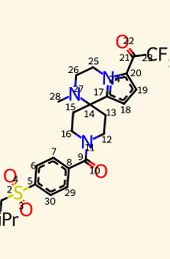 CC(C)CS(=O)(=O)c1ccc(C(=O)N2CCC3(CC2)c2ccc(C(=O)C(F)(F)F)n2CCN3C)cc1